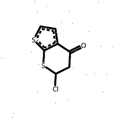 O=C1CC(Cl)Sc2sccc21